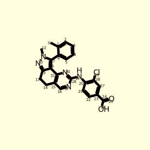 Cc1ccccc1-c1c2c(nn1C)CCc1cnc(Nc3ccc(C(=O)O)cc3Cl)nc1-2